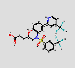 O=C(O)CCC1CN(S(=O)(=O)c2cccc(C(F)(F)F)c2)c2cc(-c3cc(C(F)(F)F)ccn3)ccc2O1